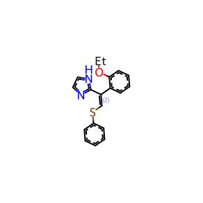 CCOc1ccccc1/C(=C/Sc1ccccc1)c1ncc[nH]1